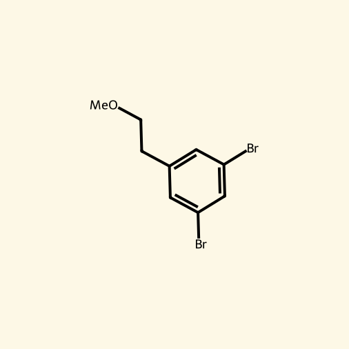 COCCc1cc(Br)cc(Br)c1